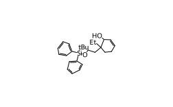 CCC1(CCO[Si](c2ccccc2)(c2ccccc2)C(C)(C)C)CCC=CC1O